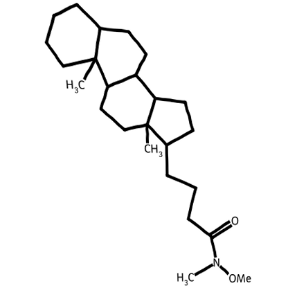 CON(C)C(=O)CCCC1CCC2C3CCC4CCCCC4(C)C3CCC12C